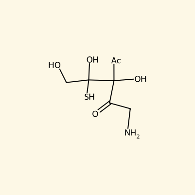 CC(=O)C(O)(C(=O)CN)C(O)(S)CO